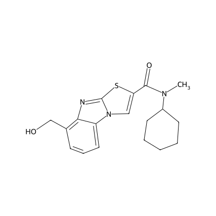 CN(C(=O)c1cn2c(nc3c(CO)cccc32)s1)C1CCCCC1